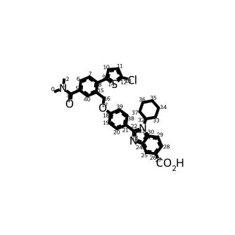 CN(C)C(=O)c1ccc(-c2ccc(Cl)s2)c(COc2ccc(-c3nc4cc(C(=O)O)ccc4n3C3CCCCC3)cc2)c1